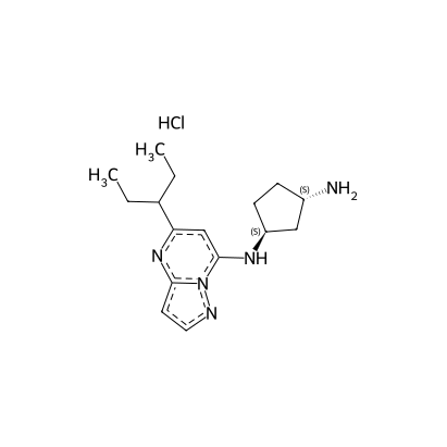 CCC(CC)c1cc(N[C@H]2CC[C@H](N)C2)n2nccc2n1.Cl